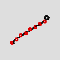 c1ccc(OCCOCCOCCOCCOCCOCCOCC2CO2)cc1